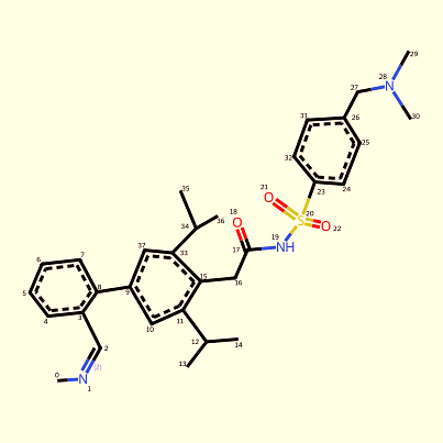 C/N=C\c1ccccc1-c1cc(C(C)C)c(CC(=O)NS(=O)(=O)c2ccc(CN(C)C)cc2)c(C(C)C)c1